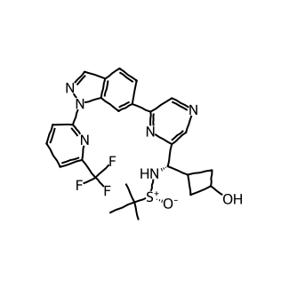 CC(C)(C)[S@@+]([O-])N[C@H](c1cncc(-c2ccc3cnn(-c4cccc(C(F)(F)F)n4)c3c2)n1)C1CC(O)C1